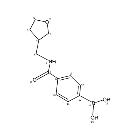 O=C(NCC1CCOC1)c1ccc(B(O)O)cc1